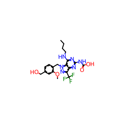 CCCCNc1nc(NC(=O)O)nc2c(C(F)(F)F)nn(Cc3ccc(CO)cc3OC)c12